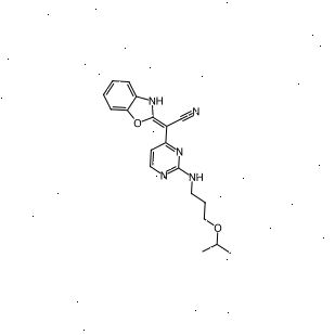 CC(C)OCCCNc1nccc(C(C#N)=C2Nc3ccccc3O2)n1